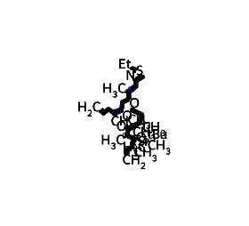 C=CC/C(C)=C\CC(OC(=O)C[C@H](C)C(C)(C)C(=O)[C@H](C)[C@@H](O[Si](C)(C)C(C)(C)C)[C@@H](C)C=C)/C(C)=C/c1csc(CC)n1